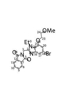 CCn1c(CN2C(=O)c3ccccc3C2=O)nc2cc(Br)cc(OCCOC)c21